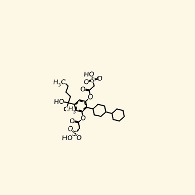 CCCCC(C)(O)c1cc(OC(=O)CS(=O)(=O)O)c(C2CCC(C3CCCCC3)CC2)c(OC(=O)CS(=O)(=O)O)c1